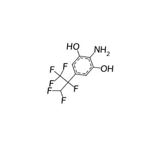 Nc1c(O)cc(C(F)(C(F)F)C(F)(F)F)cc1O